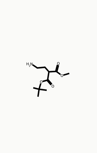 COC(=O)C(CCN)C(=O)OC(C)(C)C